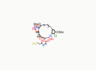 COc1cc2cc(c1Cl)N(C)C(O)C[C@H](OC(=O)[C@H](C)N(C)C(=O)CCS)[C@@]1(C)O[C@H]1[C@H](C)[C@@H]1C[C@@](O)(NC(=O)O1)[C@H](OC)/C=C/C=C(\C)C2